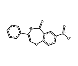 O=C1NC(c2ccccc2)=COc2ccc([N+](=O)[O-])cc21